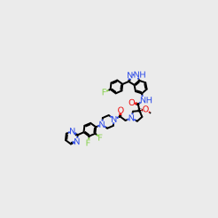 CO[C@@]1(C(=O)Nc2ccc3[nH]nc(-c4ccc(F)cc4)c3c2)CCN(CC(=O)N2CCN(c3ccc(-c4ncccn4)c(F)c3F)CC2)C1